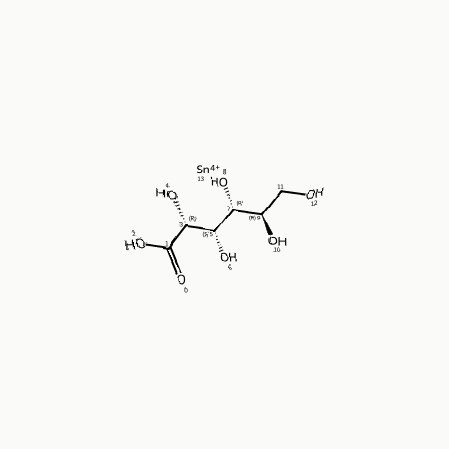 O=C(O)[C@H](O)[C@@H](O)[C@H](O)[C@H](O)CO.[Sn+4]